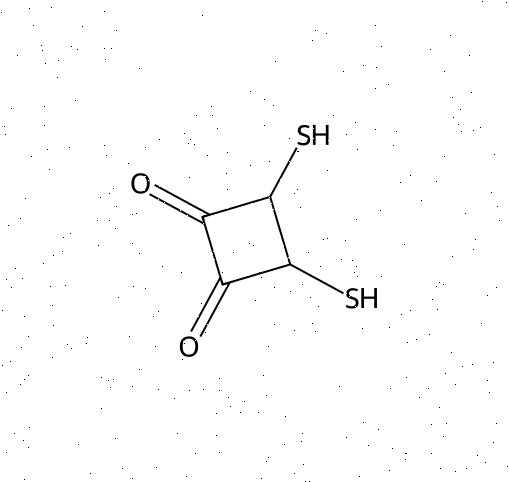 O=C1C(=O)C(S)C1S